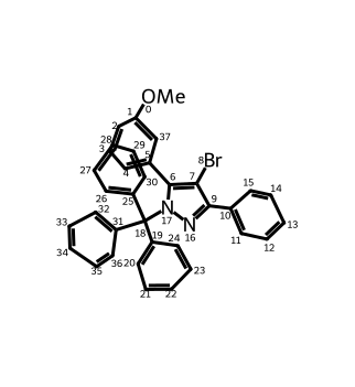 COc1cccc(-c2c(Br)c(-c3ccccc3)nn2C(c2ccccc2)(c2ccccc2)c2ccccc2)c1